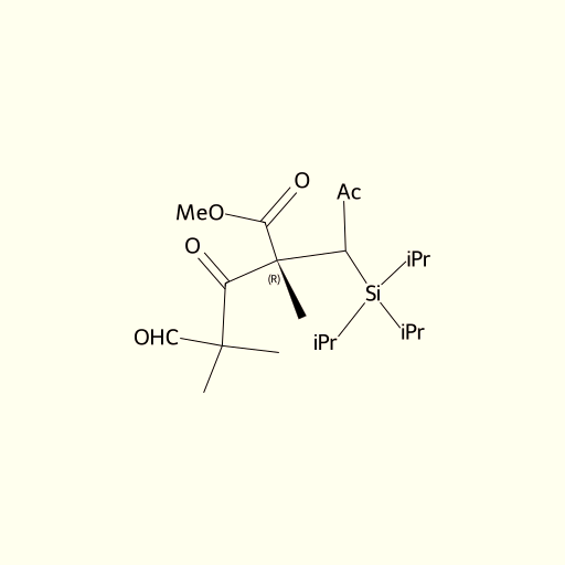 COC(=O)[C@@](C)(C(=O)C(C)(C)C=O)C(C(C)=O)[Si](C(C)C)(C(C)C)C(C)C